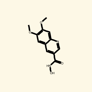 COc1cc2cc(C(=O)NO)cnc2cc1OC